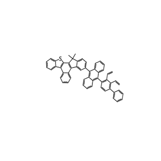 C=Cc1c(-c2ccccc2)ccc(-c2c3ccccc3c(-c3ccc4c(c3)-c3c(c5sc6ccccc6c5c5ccccc35)C4(C)C)c3ccccc23)c1C=C